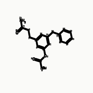 CCCCC(=O)Oc1cc(CCC(N)=O)cc(Cc2ccccc2)c1